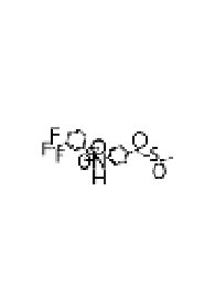 CC(=O)SCC(=O)c1ccc(NS(=O)(=O)c2cccc(C(F)(F)F)c2)cc1